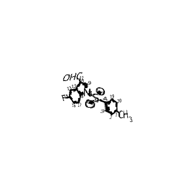 Cc1ccc(S(=O)(=O)n2cc(C=O)c3cc(F)ccc32)cc1